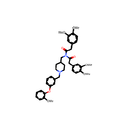 COc1ccc(CC(=O)N(CC2CCN(Cc3cccc(Oc4ccccc4OC)c3)CC2)C(=O)Cc2ccc(OC)c(OC)c2)cc1OC